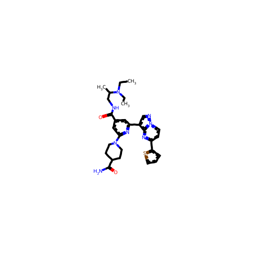 CCN(CC)C(C)CNC(=O)c1cc(-c2cnn3ccc(-c4cccs4)nc23)nc(N2CCC(C(N)=O)CC2)c1